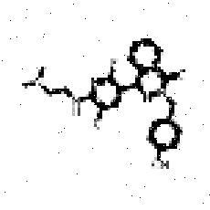 CN(C)CCNc1nc(F)c(-c2nn(Cc3ccc(C#N)cc3)c(=O)c3ccccc23)cc1Cl